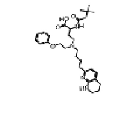 CC(C)(C)CC(=O)NC(CCN(CCCCc1ccc2c(n1)NCCC2)CCOc1ccccc1)C(=O)O